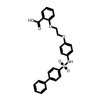 O=C(O)c1ccccc1OCCOc1ccc(NS(=O)(=O)c2ccc(-c3ccccc3)cc2)cc1